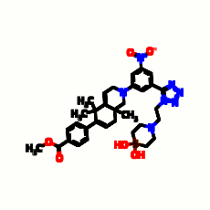 COC(=O)c1ccc(C2=CCC3(C)CN(c4cc(-c5nnnn5CCN5CCS(O)(O)CC5)cc([N+](=O)[O-])c4)CC=C3C2(C)C)cc1